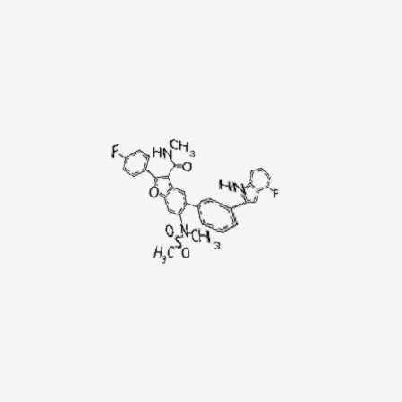 CNC(=O)c1c(-c2ccc(F)cc2)oc2cc(N(C)S(C)(=O)=O)c(-c3cccc(-c4cc5c(F)cccc5[nH]4)c3)cc12